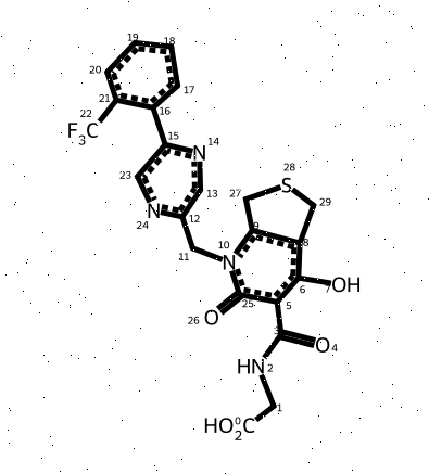 O=C(O)CNC(=O)c1c(O)c2c(n(Cc3cnc(-c4ccccc4C(F)(F)F)cn3)c1=O)CSC2